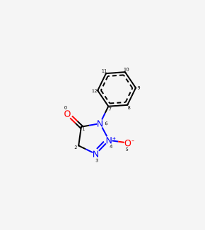 O=C1CN=[N+]([O-])N1c1ccccc1